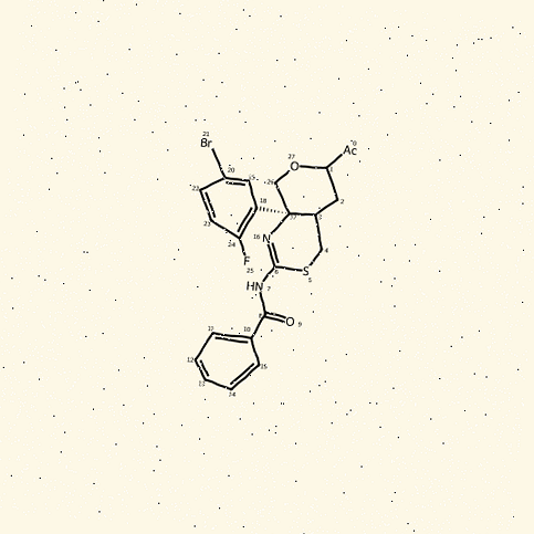 CC(=O)C1CC2CSC(NC(=O)c3ccccc3)=N[C@@]2(c2cc(Br)ccc2F)CO1